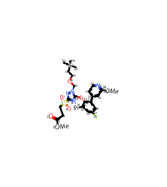 COC(=O)CCS(=O)(=O)c1nc(Oc2c(-c3ccnc(OC)c3)cc(F)cc2C(C)C)n(COCC[Si](C)(C)C)n1